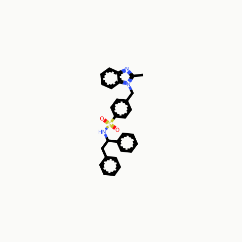 Cc1nc2ccccc2n1Cc1ccc(S(=O)(=O)NC(Cc2ccccc2)c2ccccc2)cc1